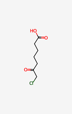 O=C(O)CCCCC(=O)CCl